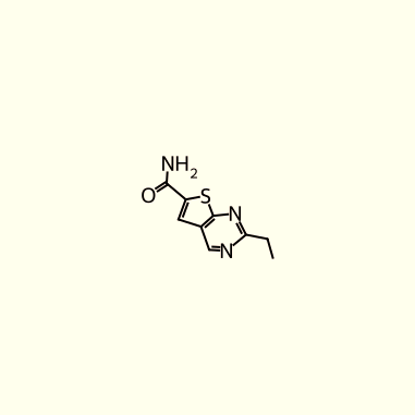 CCc1ncc2cc(C(N)=O)sc2n1